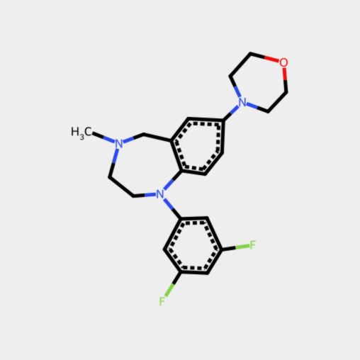 CN1CCN(c2cc(F)cc(F)c2)c2ccc(N3CCOCC3)cc2C1